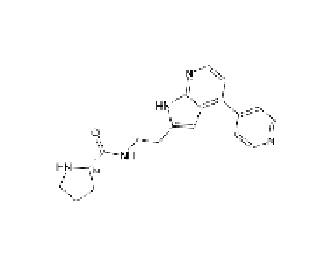 O=C(NCCc1cc2c(-c3ccncc3)ccnc2[nH]1)[C@@H]1CCCN1